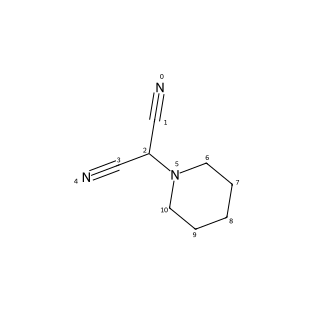 N#CC(C#N)N1CCCCC1